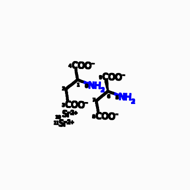 NC(CC(=O)[O-])C(=O)[O-].N[C@@H](CC(=O)[O-])C(=O)[O-].[Sr+2].[Sr+2]